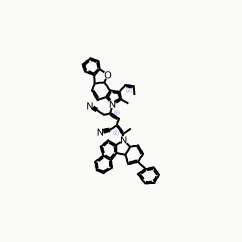 C/C=C\c1c2c(n(/C(=C/C(C#N)=C(\C)N3c4ccc5ccccc5c4C4C=C(c5ccccc5)C=CC43)CC#N)c1C)C=CC1c3ccccc3OC21